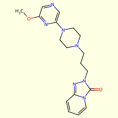 COc1cncc(N2CCN(CCCn3nc4ccccn4c3=O)CC2)n1